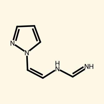 N=CN/C=C\n1cccn1